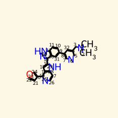 CN(C)Cc1cncc(-c2ccc3[nH]nc(-c4cc5c(-c6ccoc6)nccc5[nH]4)c3c2)c1